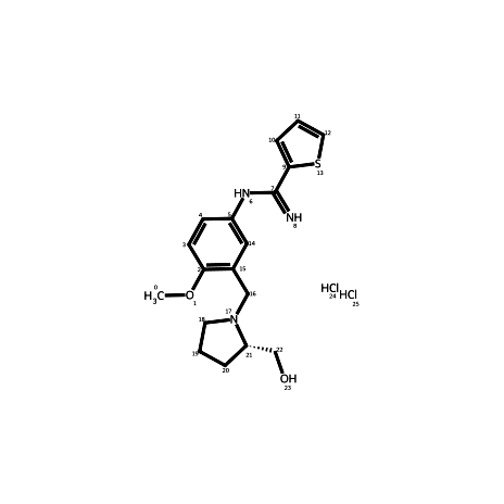 COc1ccc(NC(=N)c2cccs2)cc1CN1CCC[C@H]1CO.Cl.Cl